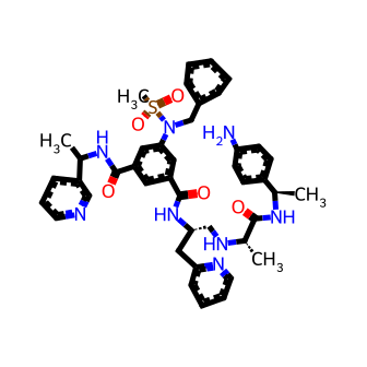 CC(NC(=O)c1cc(C(=O)N[C@H](CN[C@@H](C)C(=O)N[C@H](C)c2ccc(N)cc2)Cc2ccccn2)cc(N(Cc2ccccc2)S(C)(=O)=O)c1)c1cccnc1